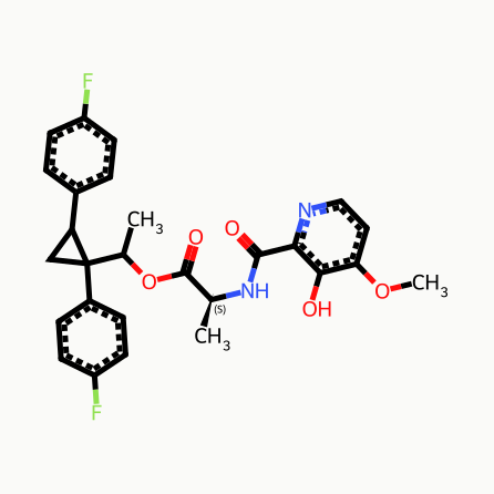 COc1ccnc(C(=O)N[C@@H](C)C(=O)OC(C)C2(c3ccc(F)cc3)CC2c2ccc(F)cc2)c1O